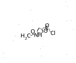 C=CC(=O)Nc1ccc(CS(=O)(=O)CCCl)cc1